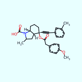 COc1ccc(CC(=O)O[C@@]2(C#Cc3cccc(C)c3)CCC[C@@H]3[C@H]2CC(C)N3C(=O)O)cc1